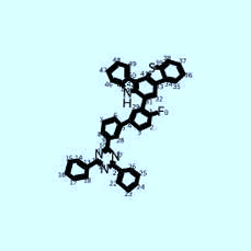 Fc1ccc(-c2cccc(-c3nc(-c4ccccc4)nc(-c4ccccc4)n3)c2)cc1-c1cc2c3ccccc3sc2c2c1[nH]c1ccccc12